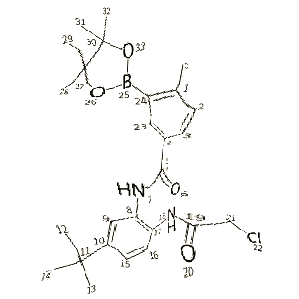 Cc1ccc(C(=O)Nc2cc(C(C)(C)C)ccc2NC(=O)CCl)cc1B1OC(C)(C)C(C)(C)O1